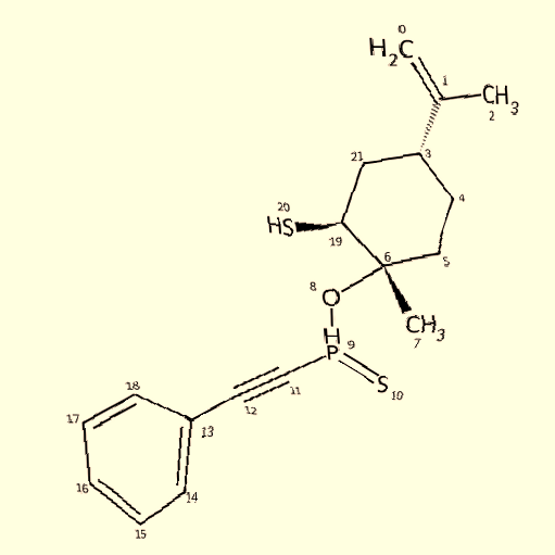 C=C(C)[C@@H]1CC[C@](C)(O[PH](=S)C#Cc2ccccc2)[C@@H](S)C1